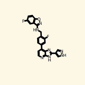 Fc1ccc2onc(NCc3ccc(-c4ccnc5[nH]c(-c6cn[nH]c6)nc45)cc3F)c2c1